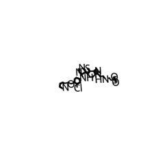 CS(=O)(=O)CCNCCn1ncc2c1CCc1c-2sc2ncnc(Nc3ccc(OCc4ccccn4)c(Cl)c3)c12